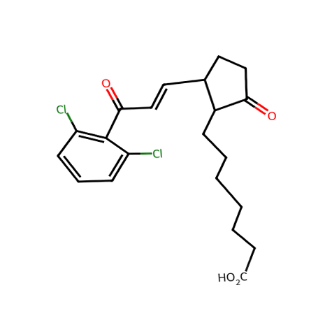 O=C(O)CCCCCCC1C(=O)CCC1/C=C/C(=O)c1c(Cl)cccc1Cl